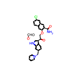 NC(=O)c1cc2cc(Cl)ccc2cc1OCC(=O)c1c[nH]c2cc(C[n+]3ccccc3)ccc12.O=C[O-]